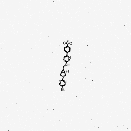 CCc1cnc(N2CC3[C@@H](CNc4cnc(-c5ccc(S(C)(=O)=O)cc5)cn4)[C@@H]3C2)nc1